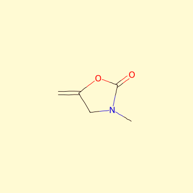 C=C1CN(C)C(=O)O1